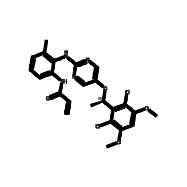 C=CC(=O)Nc1cccc(C)c1Nc1ncc(O[C@H](C)c2c(Cl)c(OC)cc(OC)c2Cl)cn1